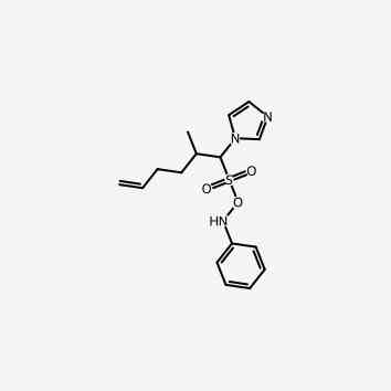 C=CCCC(C)C(n1ccnc1)S(=O)(=O)ONc1ccccc1